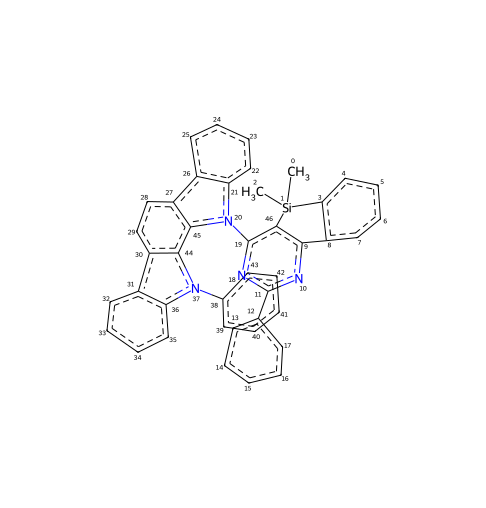 C[Si]1(C)c2ccccc2-c2nc(-c3ccccc3)nc(-n3c4ccccc4c4ccc5c6ccccc6n(-c6ccccc6)c5c43)c21